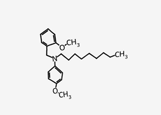 CCCCCCCCCN(Cc1ccccc1OC)c1ccc(OC)cc1